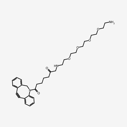 NCCOCCOCCOCCOCCNCC(=O)CCCCC(=O)N1Cc2ccccc2C#Cc2ccccc21